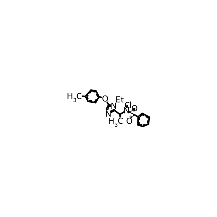 CCn1c(Oc2ccc(C)cc2)cnc1C(C)N(Cl)S(=O)(=O)c1ccccc1